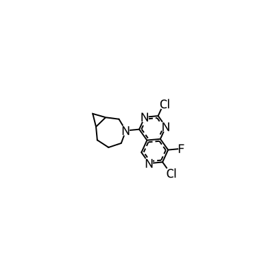 Fc1c(Cl)ncc2c(N3CCCC4CC4C3)nc(Cl)nc12